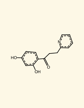 O=C(CCc1ccccn1)c1ccc(O)cc1O